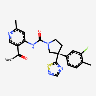 COC(=O)c1cnc(C)cc1NC(=O)N1CC[C@](c2ccc(C)c(F)c2)(c2ncns2)C1